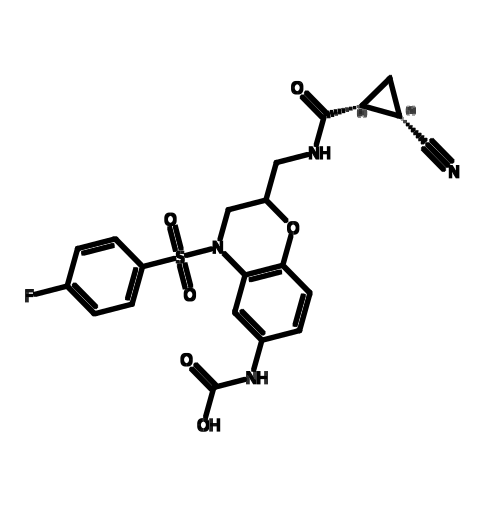 N#C[C@H]1C[C@H]1C(=O)NCC1CN(S(=O)(=O)c2ccc(F)cc2)c2cc(NC(=O)O)ccc2O1